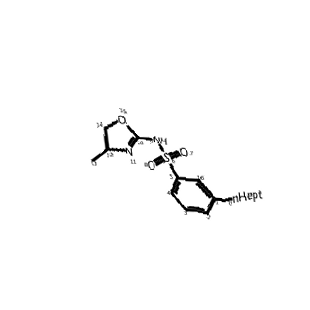 CCCCCCCc1cccc(S(=O)(=O)NC2=NC(C)CO2)c1